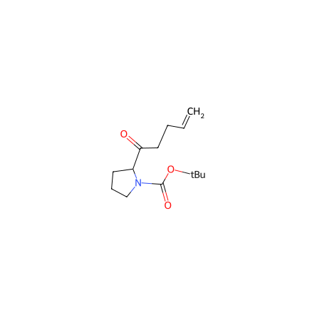 C=CCCC(=O)C1CCCN1C(=O)OC(C)(C)C